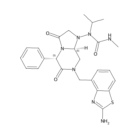 CNC(=O)N(C(C)C)N1CC(=O)N2[C@@H](c3ccccc3)C(=O)N(Cc3cccc4sc(N)nc34)C[C@@H]21